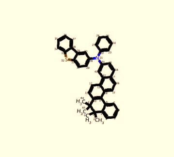 CC1(C)c2ccccc2-c2c(ccc3c2ccc2ccc(N(c4ccccc4)c4ccc5sc6ccccc6c5c4)cc23)C1(C)C